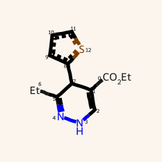 CCOC(=O)C1=CNN=C(CC)C1c1cccs1